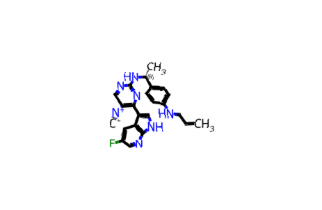 [C-]#[N+]c1cnc(N[C@H](C)c2ccc(NCCC)cc2)nc1-c1c[nH]c2ncc(F)cc12